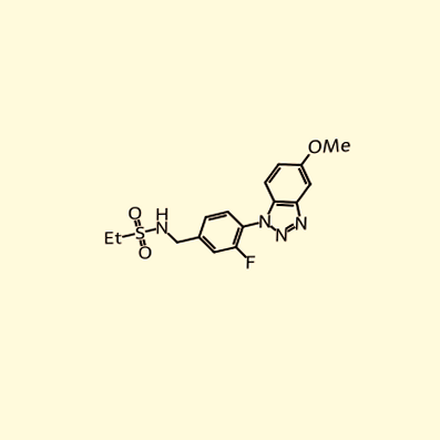 CCS(=O)(=O)NCc1ccc(-n2nnc3cc(OC)ccc32)c(F)c1